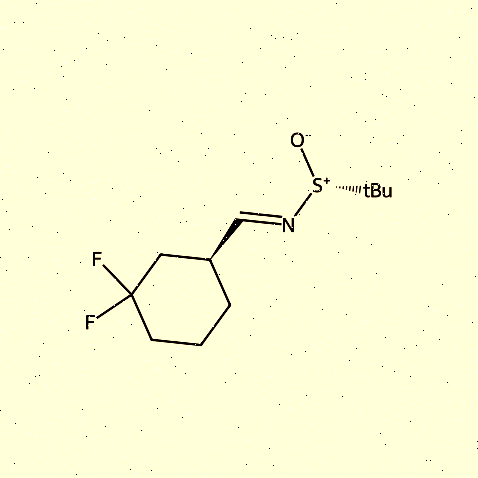 CC(C)(C)[S@@+]([O-])/N=C/[C@H]1CCCC(F)(F)C1